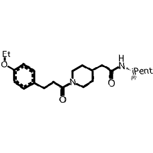 CCC[C@@H](C)NC(=O)CC1CCN(C(=O)CCc2ccc(OCC)cc2)CC1